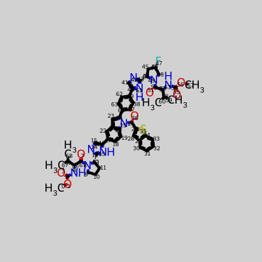 COC(=O)N[C@H](C(=O)N1CCC[C@H]1c1ncc(-c2ccc3c(c2)cc2n3C(c3cc4ccccc4s3)Oc3cc(-c4cnc([C@@H]5C[C@@H](F)CN5C(=O)[C@@H](NC(=O)OC)C(C)C)[nH]4)ccc3-2)[nH]1)C(C)C